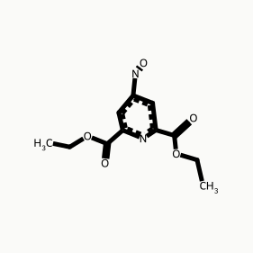 CCOC(=O)c1cc(N=O)cc(C(=O)OCC)n1